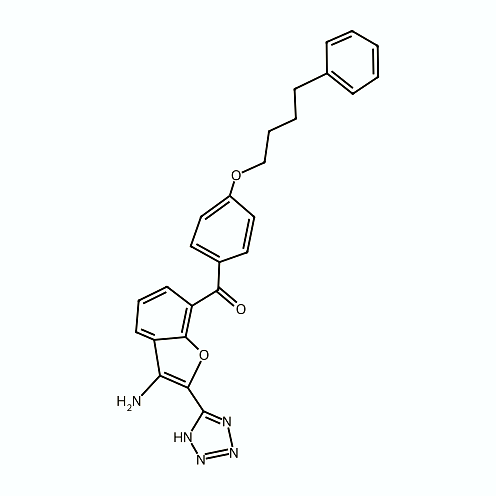 Nc1c(-c2nnn[nH]2)oc2c(C(=O)c3ccc(OCCCCc4ccccc4)cc3)cccc12